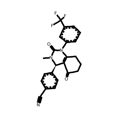 CN1C(=O)N(c2cccc(C(F)(F)F)c2)C2=C(C(=O)CCC2)[C@H]1c1ccc(C#N)cc1